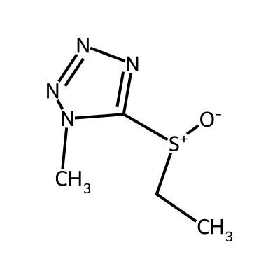 CC[S+]([O-])c1nnnn1C